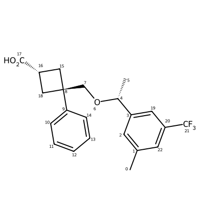 Cc1cc([C@@H](C)OC[C@]2(c3ccccc3)C[C@@H](C(=O)O)C2)cc(C(F)(F)F)c1